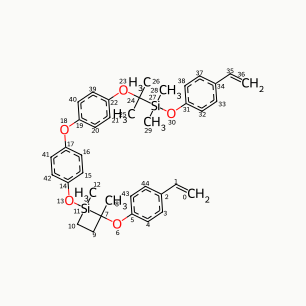 C=Cc1ccc(OC2(C)CC[Si]2(C)Oc2ccc(Oc3ccc(OC(C)(C)[Si](C)(C)Oc4ccc(C=C)cc4)cc3)cc2)cc1